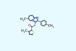 Cc1ccc(-c2nc3ccc(C)cn3c2CC(=O)c2sccc2C)cc1